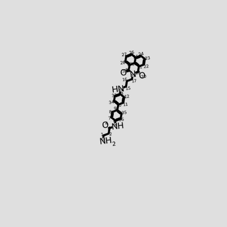 NCCC(=O)Nc1ccc(-c2ccc(NCCCN3C(=O)c4cccc5cccc(c45)C3=O)cc2)cc1